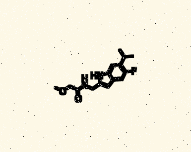 COCC(=O)NCc1cc2cc(F)c(C(C)C)cc2[nH]1